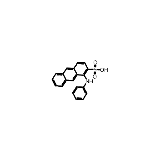 O=S(=O)(O)c1ccc2cc3ccccc3cc2c1Nc1ccccc1